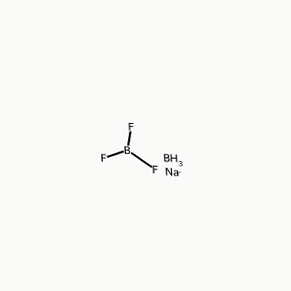 B.FB(F)F.[Na]